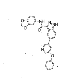 O=C(Nc1ccc2c(c1)OCO2)c1n[nH]c2ccc(-c3cncc(Oc4ccccc4)c3)cc12